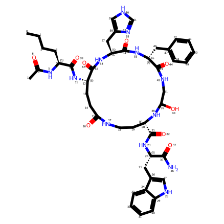 CCCC[C@H](NC(C)=O)C(=O)N[C@H]1CCC(=O)NCC[C@@H](C(=O)N[C@@H](Cc2c[nH]c3ccccc23)C(N)=O)NC(O)CNC(=O)[C@@H](Cc2ccccc2)NC(=O)[C@H](Cc2c[nH]cn2)NC1=O